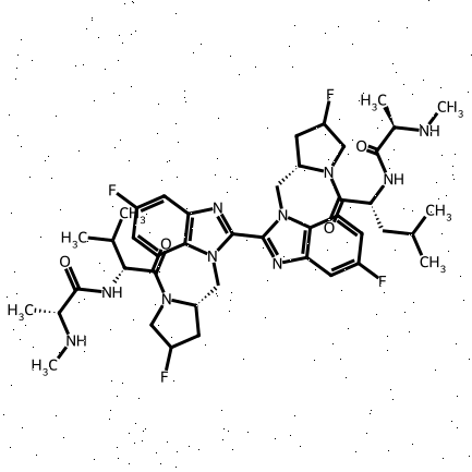 CN[C@H](C)C(=O)N[C@H](CC(C)C)C(=O)N1CC(F)C[C@H]1Cn1c(-c2nc3cc(F)ccc3n2C[C@@H]2CC(F)CN2C(=O)[C@H](NC(=O)[C@@H](C)NC)C(C)C)nc2cc(F)ccc21